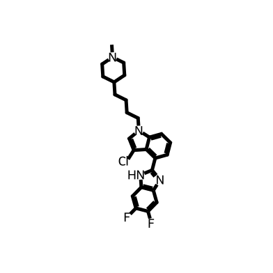 CN1CCC(CCCCn2cc(Cl)c3c(-c4nc5cc(F)c(F)cc5[nH]4)cccc32)CC1